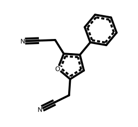 N#CCc1cc(-c2ccccc2)c(CC#N)o1